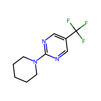 FC(F)(F)c1cnc(N2CCCCC2)nc1